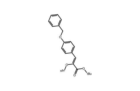 CCCOC(=Cc1ccc(OCc2ccccc2)cc1)C(=O)OC(C)(C)C